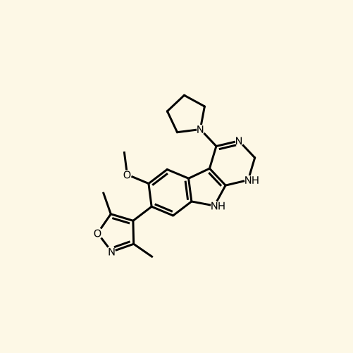 COc1cc2c3c([nH]c2cc1-c1c(C)noc1C)NCN=C3N1CCCC1